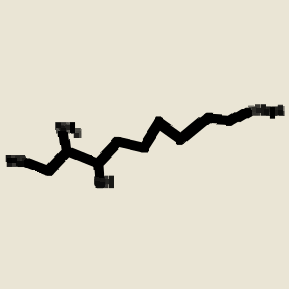 CCCCCCCCCCCCCC(O)C(N)CO